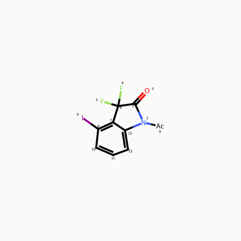 CC(=O)N1C(=O)C(F)(F)c2c(I)cccc21